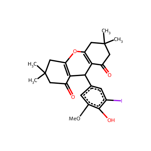 COc1cc(C2C3=C(CC(C)(C)CC3=O)OC3=C2C(=O)CC(C)(C)C3)cc(I)c1O